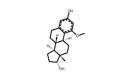 COc1cc(O)cc2c1[C@H]1CC[C@]3(C)[C@H](O)CC[C@H]3[C@@H]1CC2